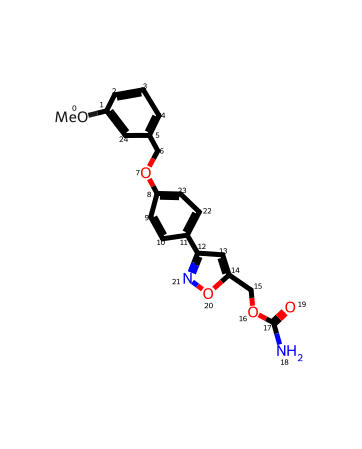 COc1cccc(COc2ccc(-c3cc(COC(N)=O)on3)cc2)c1